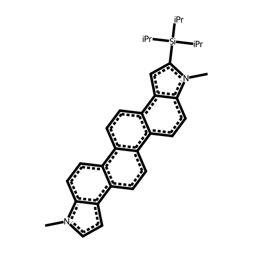 CC(C)[Si](c1cc2c3ccc4c(ccc5c4ccc4c5ccn4C)c3ccc2n1C)(C(C)C)C(C)C